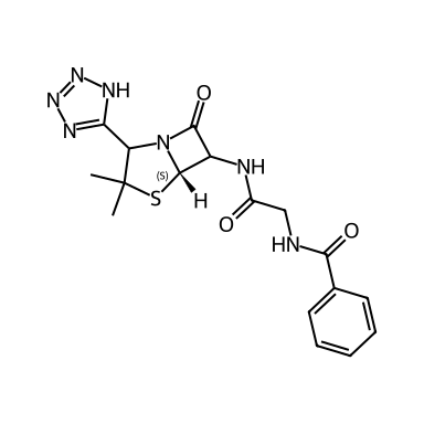 CC1(C)S[C@H]2C(NC(=O)CNC(=O)c3ccccc3)C(=O)N2C1c1nnn[nH]1